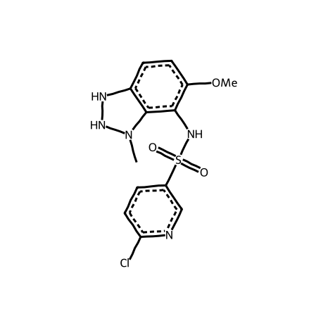 COc1ccc2c(c1NS(=O)(=O)c1ccc(Cl)nc1)N(C)NN2